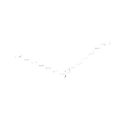 O=P(O)(CCCCCCCCCCCCO)CCCCCCCCCCCCO